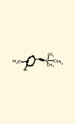 Cc1ccc(C#C[Si](C)(C)C)cc1Br